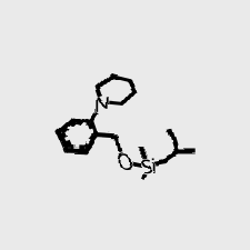 CC(C)C[Si](C)(C)OCc1ccccc1N1CCCCC1